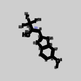 COc1ccc2nc(/C=C(\O)C(F)(F)F)sc2c1